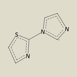 [c]1nccn1-c1nccs1